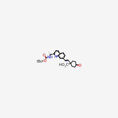 C[C@@H](NC(=O)OC(C)(C)C)c1ccc2ccc(/C=C/C3(C(=O)O)CCC(=O)CC3)cc2n1